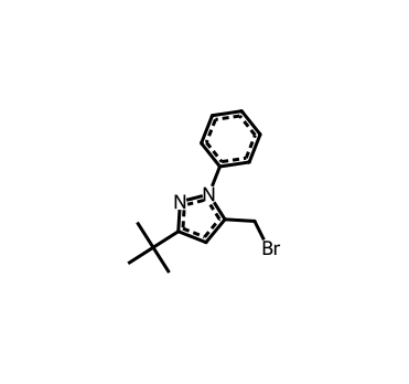 CC(C)(C)c1cc(CBr)n(-c2ccccc2)n1